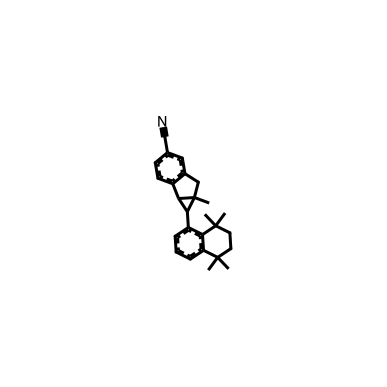 CC1(C)CCC(C)(C)c2c(C3C4c5ccc(C#N)cc5CC43C)cccc21